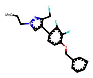 COCCn1cc(-c2ccc(OCc3ccccc3)c(F)c2F)c(CF)n1